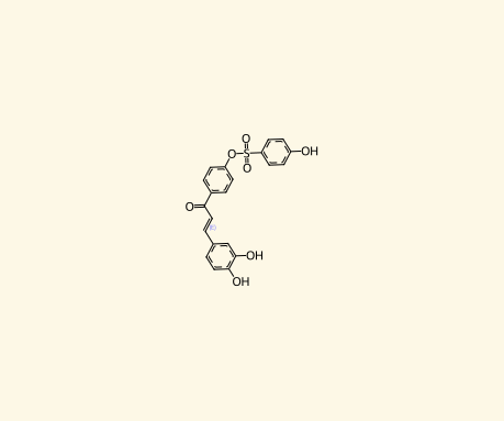 O=C(/C=C/c1ccc(O)c(O)c1)c1ccc(OS(=O)(=O)c2ccc(O)cc2)cc1